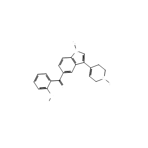 CCN1CC=C(c2cn(N)c3ccc(C(=O)c4ccccc4OC(F)(F)F)cc23)CC1